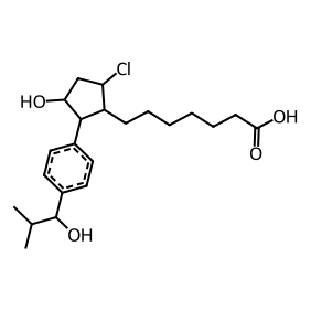 CC(C)C(O)c1ccc(C2C(O)CC(Cl)C2CCCCCCC(=O)O)cc1